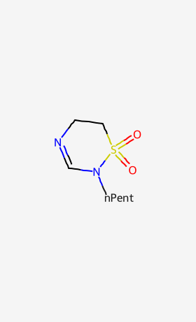 CCCCCN1C=NCCS1(=O)=O